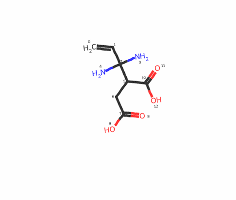 C=CC(N)(N)C(CC(=O)O)C(=O)O